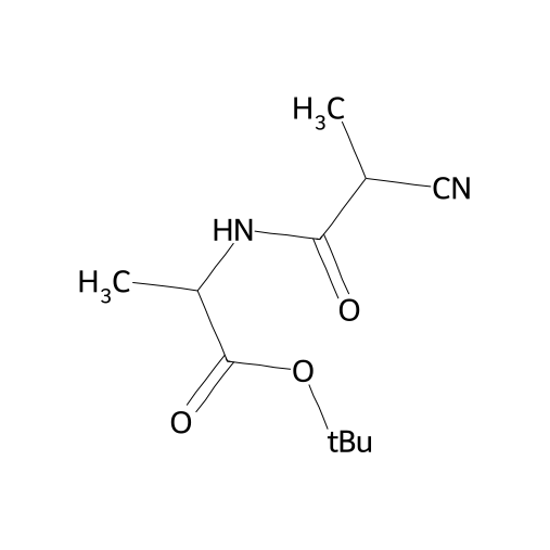 CC(C#N)C(=O)NC(C)C(=O)OC(C)(C)C